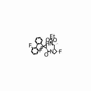 CCS(=O)(=O)N[C@H](C)[C@@H]1[C@H](F)CN1C(=O)[C@@H]1C[C@@]1(F)c1ccccc1-c1c(F)cccc1F